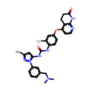 CN(C)Cc1cccc(-n2nc(C(C)(C)C)cc2NC(=O)Nc2ccc(Oc3ccnc4c3CCC(=O)N4)cc2C(F)(F)F)c1